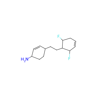 NC1C=CC(CCC2C(F)C=CCC2F)CC1